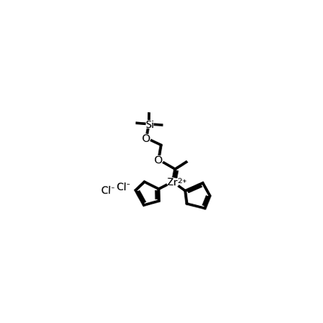 C[C](OCO[Si](C)(C)C)=[Zr+2]([C]1=CC=CC1)[C]1=CC=CC1.[Cl-].[Cl-]